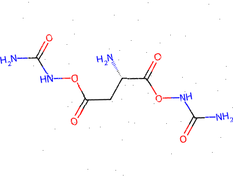 NC(=O)NOC(=O)C[C@H](N)C(=O)ONC(N)=O